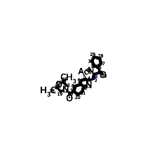 CC(=O)N1/C(=C\c2ccc3cc(C(=O)N4CC(C)OC(C)C4)ccc3n2)C(=O)c2ccccc21